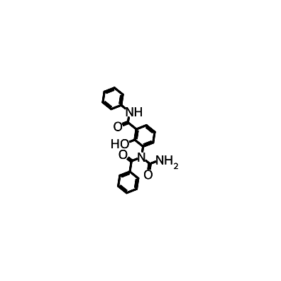 NC(=O)N(C(=O)c1ccccc1)c1cccc(C(=O)Nc2ccccc2)c1O